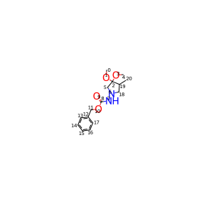 COC1(OC)CN(NC(=O)OCc2ccccc2)CC1C